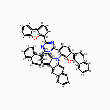 c1ccc2cc3c(cc2c1)c1ccccc1n3-c1c(-c2nc(-c3cccc4ccccc34)nc(-c3cccc4c3oc3ccccc34)n2)ccc2c1oc1c3ccccc3ccc21